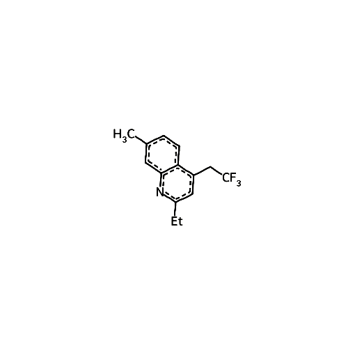 CCc1cc(CC(F)(F)F)c2ccc(C)cc2n1